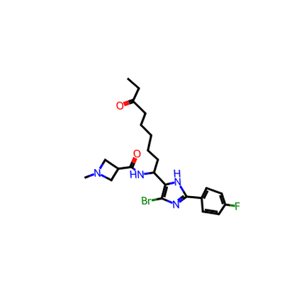 CCC(=O)CCCCCC(NC(=O)C1CN(C)C1)c1[nH]c(-c2ccc(F)cc2)nc1Br